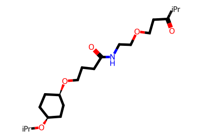 CC(C)O[C@H]1CC[C@@H](OCCCC(=O)NCCOCCC(=O)C(C)C)CC1